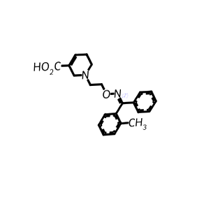 Cc1ccccc1/C(=N\OCCN1CCC=C(C(=O)O)C1)c1ccccc1